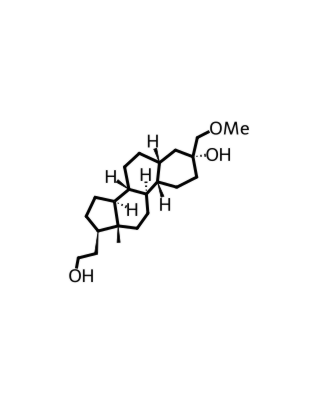 COC[C@@]1(O)CC[C@H]2[C@H](CC[C@@H]3[C@@H]2CC[C@]2(C)[C@@H](CCO)CC[C@@H]32)C1